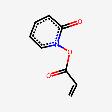 C=CC(=O)On1ccccc1=O